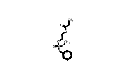 C=CC(=O)OCCOP(=O)(OC)Oc1ccccc1